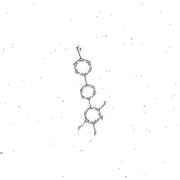 CCc1ccc(-c2ccc(-c3cc(F)c(F)nc3F)cc2)cc1